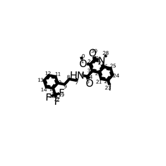 COc1c(C(=O)NCCCc2ccccc2C(F)(F)F)c2cc(I)ccc2n(C)c1=O